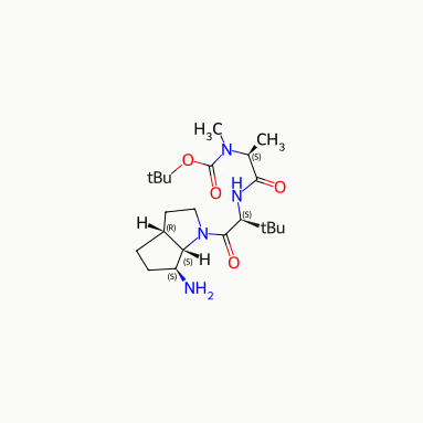 C[C@@H](C(=O)N[C@H](C(=O)N1CC[C@H]2CC[C@H](N)[C@H]21)C(C)(C)C)N(C)C(=O)OC(C)(C)C